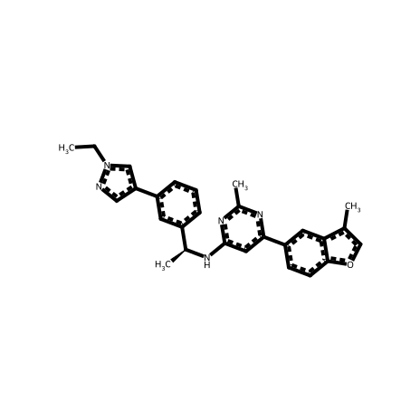 CCn1cc(-c2cccc([C@H](C)Nc3cc(-c4ccc5occ(C)c5c4)nc(C)n3)c2)cn1